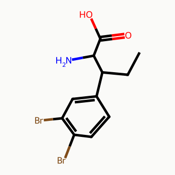 CCC(c1ccc(Br)c(Br)c1)C(N)C(=O)O